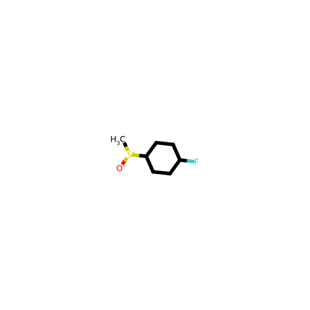 C[S+]([O-])C1CCC(F)CC1